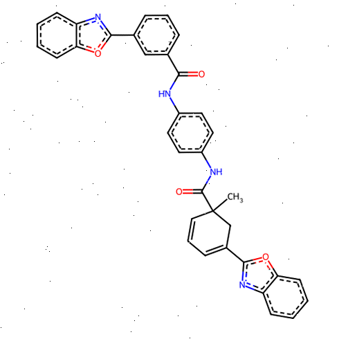 CC1(C(=O)Nc2ccc(NC(=O)c3cccc(-c4nc5ccccc5o4)c3)cc2)C=CC=C(c2nc3ccccc3o2)C1